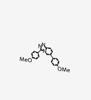 COc1ccc(-c2ccc3nnc(-c4ccc(OC)cc4)n3c2)cc1